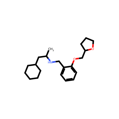 CC(CC1CCCCC1)NCc1ccccc1OCC1CCCO1